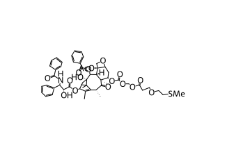 CSCCOCCC(=O)OCOC(=O)O[C@H]1CC2OC[C@@]2(OC(C)=O)[C@H]2[C@H](OC(=O)c3ccccc3)[C@]3(O)CC(OC(=O)[C@H](O)C(NC(=O)c4ccccc4)c4ccccc4)C(C)=C([C@@H](C)C(=O)[C@]12C)C3(C)C